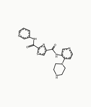 O=C(Nc1cnccc1N1CCNCC1)c1csc(C(=O)Nc2cccnc2)n1